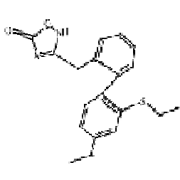 C[CH]c1ccc(-c2ccccc2Cc2nc(=O)o[nH]2)c(SCC)c1